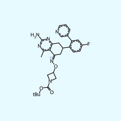 Cc1nc(N)nc2c1/C(=N/OC1CN(C(=O)OC(C)(C)C)C1)CC(c1ccc(F)cc1-c1cccnc1)C2